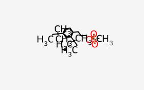 CCC(C)(C)c1ccc(CCCOS(C)(=O)=O)c(C(C)(C)CC)c1